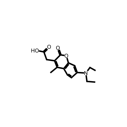 CCN(CC)c1ccc2c(C)c(CC(=O)O)c(=O)oc2c1